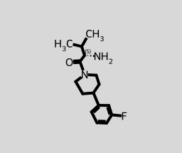 CC(C)[C@H](N)C(=O)N1CCC(c2cccc(F)c2)CC1